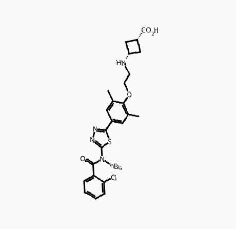 CCCCN(C(=O)c1ccccc1Cl)c1nnc(-c2cc(C)c(OCCN[C@H]3C[C@@H](C(=O)O)C3)c(C)c2)s1